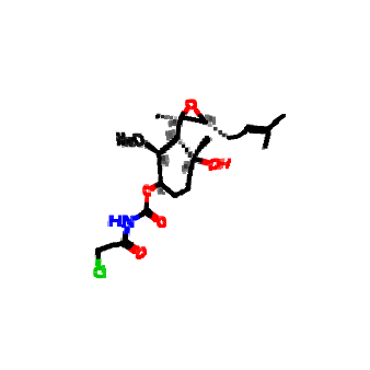 CO[C@H]1[C@H]([C@@]2(C)O[C@@H]2CC=C(C)C)[C@](C)(O)CC[C@H]1OC(=O)NC(=O)CCl